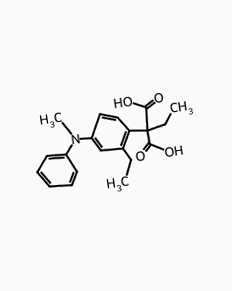 CCc1cc(N(C)c2ccccc2)ccc1C(CC)(C(=O)O)C(=O)O